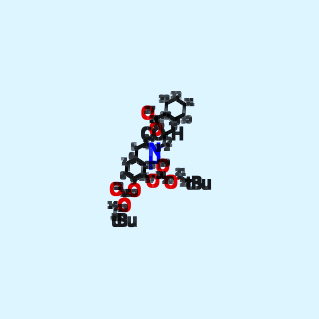 CC(CN[C@@H](Cc1ccc(OC(=O)OCC(C)(C)C)c(OC(=O)OCC(C)(C)C)c1)C(=O)O)OC(=O)C1CCCCC1